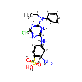 CCN(c1ccccc1)c1nc(Cl)nc(Nc2ccc(S(=O)(=O)O)c(N)c2)n1